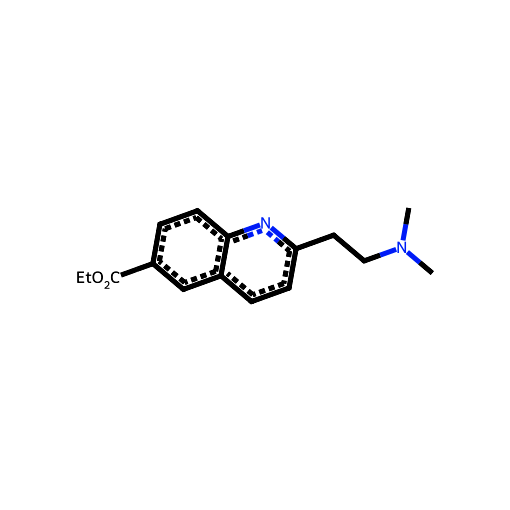 CCOC(=O)c1ccc2nc(CCN(C)C)ccc2c1